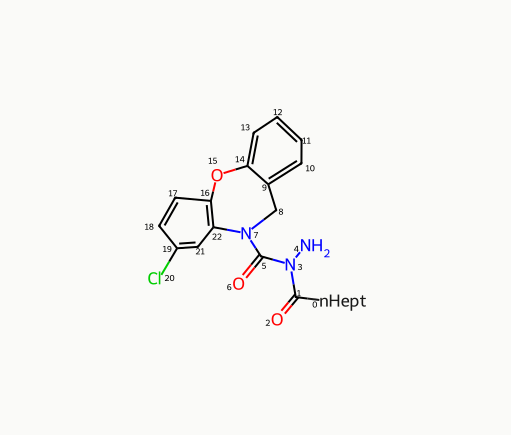 CCCCCCCC(=O)N(N)C(=O)N1Cc2ccccc2Oc2ccc(Cl)cc21